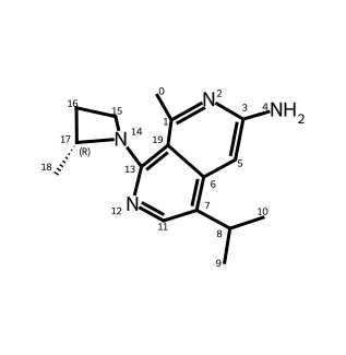 Cc1nc(N)cc2c(C(C)C)cnc(N3CC[C@H]3C)c12